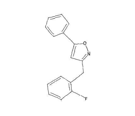 Fc1[c]cccc1Cc1cc(-c2ccccc2)on1